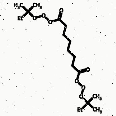 CCC(C)(C)OOOC(=O)CCCCCCC(=O)OOOC(C)(C)CC